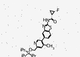 Cc1cc(CO[Si](C(C)C)(C(C)C)C(C)C)ncc1-c1ccc2sc(NC(=O)[C@@H]3C[C@@H]3F)nc2c1